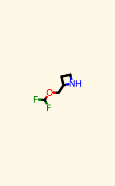 FC(F)OCC1CCN1